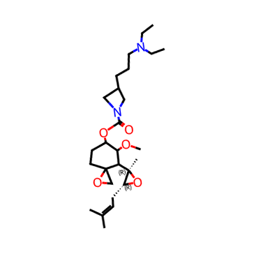 CCN(CC)CCCC1CN(C(=O)OC2CCC3(CO3)C([C@@]3(C)O[C@@H]3CC=C(C)C)C2OC)C1